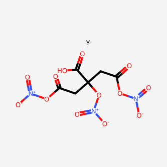 O=C(CC(CC(=O)O[N+](=O)[O-])(O[N+](=O)[O-])C(=O)O)O[N+](=O)[O-].[Y]